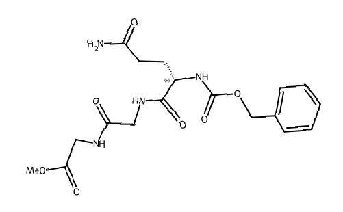 COC(=O)CNC(=O)CNC(=O)[C@H](CCC(N)=O)NC(=O)OCc1ccccc1